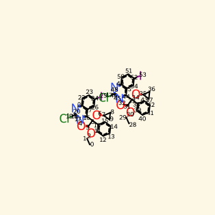 CCOC(=O)[C@@](OC1CC1)(c1ccccc1)c1nc(Cl)nc2ccc(I)cc12.CCOC(=O)[C@](OC1CC1)(c1ccccc1)c1nc(Cl)nc2ccc(I)cc12